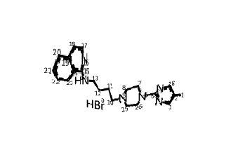 Br.Cc1cnc(N2CCN(CCCCNc3nccc4ccccc34)CC2)nc1